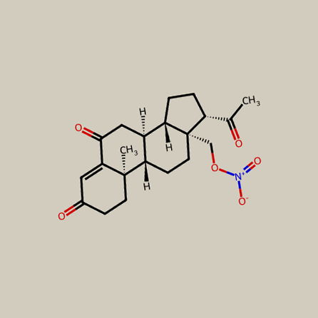 CC(=O)[C@H]1CC[C@H]2[C@@H]3CC(=O)C4=CC(=O)CC[C@]4(C)[C@H]3CC[C@]12CO[N+](=O)[O-]